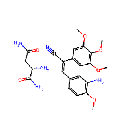 COc1ccc(/C=C(/C#N)c2cc(OC)c(OC)c(OC)c2)cc1N.NC(=O)C[C@H](N)C(N)=O